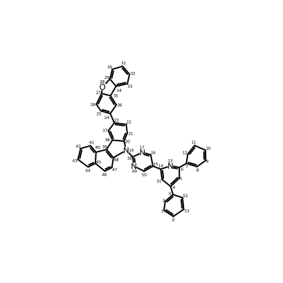 c1ccc(-c2cc(-c3ccccc3)nc(-c3cnc(-n4c5ccc(-c6ccc7oc8ccccc8c7c6)cc5c5c6ccccc6ccc54)nc3)c2)cc1